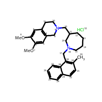 COc1cc2c(cc1OC)CN(CC1CCCCN(Cc3c(C)ccc4ccccc34)C1)CC2.Cl